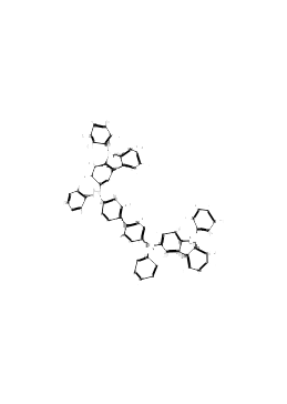 C1=C(N(c2ccccc2)c2ccc(-c3ccc(N(c4ccccc4)c4ccc5c(c4)c4ccccc4n5-c4ccccc4)cc3)cc2)CCc2c1c1ccccc1n2-c1ccccc1